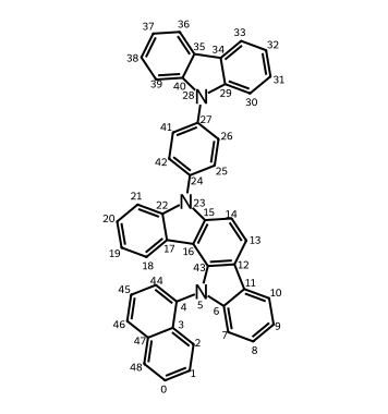 c1ccc2c(-n3c4ccccc4c4ccc5c(c6ccccc6n5-c5ccc(-n6c7ccccc7c7ccccc76)cc5)c43)cccc2c1